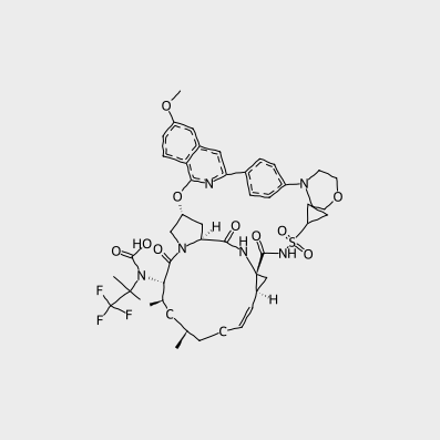 COc1ccc2c(O[C@@H]3C[C@H]4C(=O)N[C@]5(C(=O)NS(=O)(=O)C6CC6)C[C@H]5C=CCC[C@@H](C)C[C@@H](C)[C@H](N(C(=O)O)C(C)(C)C(F)(F)F)C(=O)N4C3)nc(-c3ccc(N4CCOCC4)cc3)cc2c1